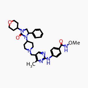 CONC(=O)c1ccc(Nc2ncc(CN3CCC(N4C(=O)N(C5CCOCC5)CC4c4ccccc4)CC3)c(C)n2)cc1